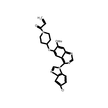 C=CC(=O)N1CCC(Oc2cc3c(-n4cnc5cc(Cl)ccc54)ncnc3cc2OC)CC1